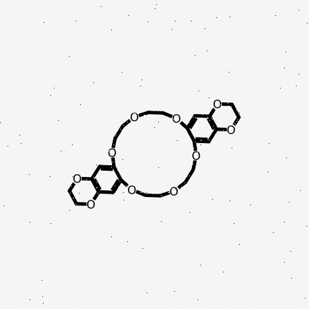 c1c2c(cc3c1OCCO3)OCCOCCOc1cc3c(cc1OCCOCCO2)OCCO3